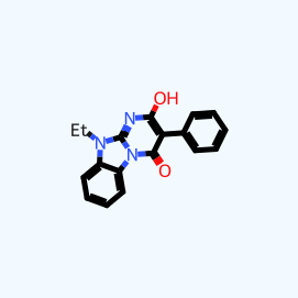 CCn1c2ccccc2n2c(=O)c(-c3ccccc3)c(O)nc12